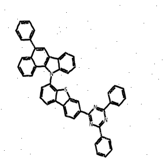 c1ccc(-c2nc(-c3ccccc3)nc(-c3ccc4c(c3)sc3c(-n5c6ccccc6c6cc(-c7ccccc7)c7ccccc7c65)cccc34)n2)cc1